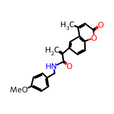 C=C(C(=O)NCc1ccc(OC)cc1)c1ccc2oc(=O)cc(C)c2c1